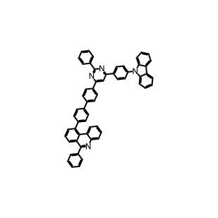 c1ccc(-c2nc(-c3ccc(-c4ccc(-c5cccc6c(-c7ccccc7)nc7ccccc7c56)cc4)cc3)cc(-c3ccc(-n4c5ccccc5c5ccccc54)cc3)n2)cc1